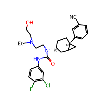 CCN(CCO)CCN(C(=O)Nc1ccc(F)c(Cl)c1)[C@@H]1CC[C@]2(c3cccc(C#N)c3)CC2C1